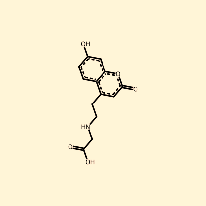 O=C(O)CNCCc1cc(=O)oc2cc(O)ccc12